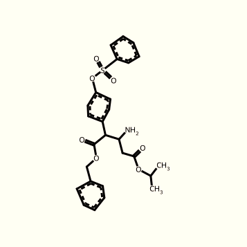 CC(C)OC(=O)CC(N)C(C(=O)OCc1ccccc1)c1ccc(OS(=O)(=O)c2ccccc2)cc1